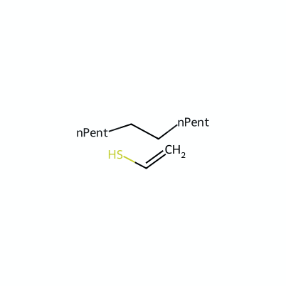 C=CS.CCCCCCCCCCCC